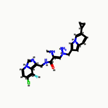 CN/C(=C\N(N)Cc1cc2ccc(C3CC3)cn2c1)C(=O)NCc1ncn2ccc(Cl)c(F)c12